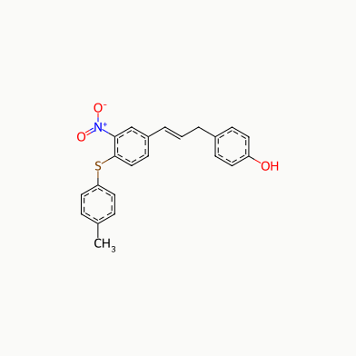 Cc1ccc(Sc2ccc(C=CCc3ccc(O)cc3)cc2[N+](=O)[O-])cc1